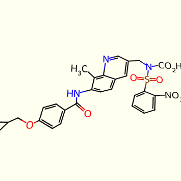 Cc1c(NC(=O)c2ccc(OCC3CC3)cc2)ccc2cc(CN(C(=O)O)S(=O)(=O)c3ccccc3[N+](=O)[O-])cnc12